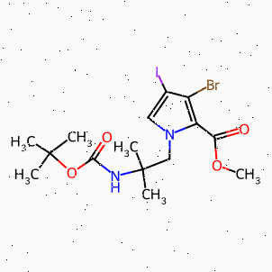 COC(=O)c1c(Br)c(I)cn1CC(C)(C)NC(=O)OC(C)(C)C